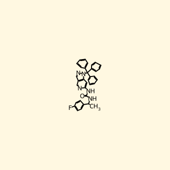 CC(NC(=O)Nc1cc2c(cn1)cnn2C(c1ccccc1)(c1ccccc1)c1ccccc1)c1ccc(F)cc1